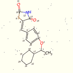 CC(Oc1ccc(C=C2SC(=O)NC2=O)cc1)C1CCCCC1